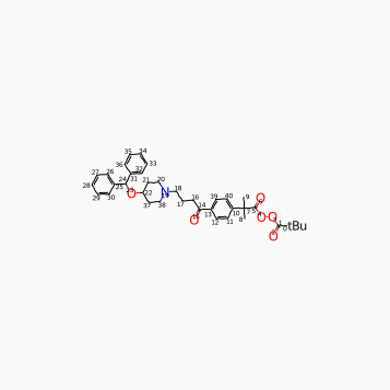 CC(C)(C)C(=O)OOC(=O)C(C)(C)c1ccc(C(=O)CCCN2CCC(OC(c3ccccc3)c3ccccc3)CC2)cc1